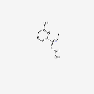 C/C=C(/CNC(C)(C)C)c1cccc(O)n1